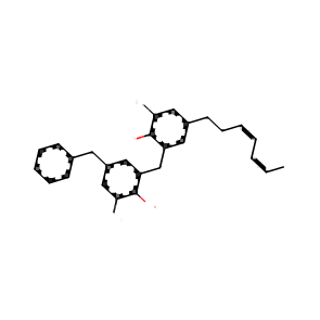 C/C=C\C=C/CCc1cc(Cc2cc(Cc3ccccc3)cc(C(C)(C)C)c2O)c(O)c(C(C)(C)C)c1